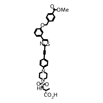 COC(=O)c1ccc(COc2cccc(-c3csc(C#Cc4ccc(N5CCN(S(=O)(=O)N[C@H](C)C(=O)O)CC5)cc4)n3)c2)cc1